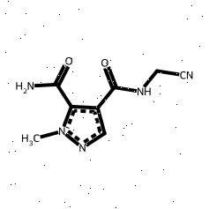 Cn1ncc(C(=O)NCC#N)c1C(N)=O